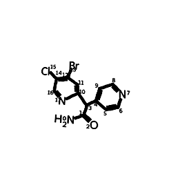 NC(=O)C(c1ccncc1)c1cc(Br)c(Cl)cn1